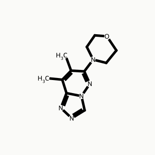 Cc1c(N2CCOCC2)nn2cnnc2c1C